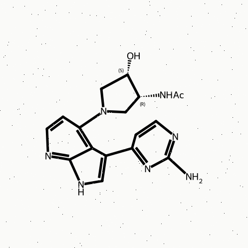 CC(=O)N[C@@H]1CN(c2ccnc3[nH]cc(-c4ccnc(N)n4)c23)C[C@@H]1O